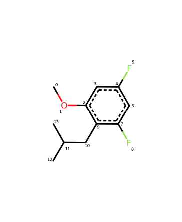 COc1cc(F)cc(F)c1CC(C)C